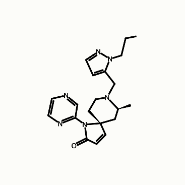 CCCn1nccc1CN1CC[C@]2(C=CC(=O)N2c2cnccn2)C[C@@H]1C